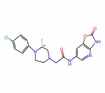 C[C@@H]1CN(CC(=O)Nc2cnc3[nH]c(=O)oc3c2)CCN1c1ccc(Cl)cc1